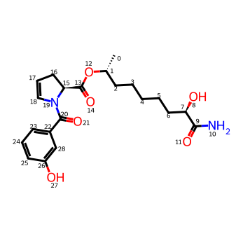 C[C@H](CCCCC[C@@H](O)C(N)=O)OC(=O)[C@@H]1CC=CN1C(=O)c1cccc(O)c1